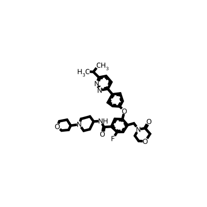 CC(C)c1ccc(-c2ccc(Oc3cc(C(=O)NC4CCN(C5CCOCC5)CC4)c(F)cc3CN3CCOCC3=O)cc2)nn1